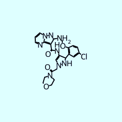 COc1ccc(Cl)cc1C1NN(CC(=O)N2CCOCC2)C=C1NC(=O)c1c(N)nn2cccnc12